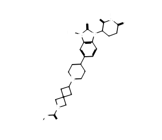 COC(=O)N1CC2(CC(N3CCC(c4ccc5c(c4)n(C)c(=O)n5C4CCC(=O)NC4=O)CC3)C2)C1